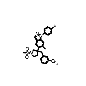 Cc1cc2c(cnn2-c2ccc(F)cc2)cc1C1(Cc2cccc(C(F)(F)F)c2)CCN(S(C)(=O)=O)C1